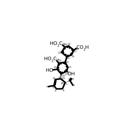 C=C(C)[C@@H]1CCC(C)=C[C@H]1c1c(O)cc(-c2cc(C(=O)O)cc(C(=O)O)c2)c(C(=O)O)c1O